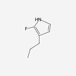 CCCc1cc[nH]c1F